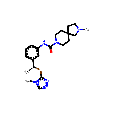 CC(=O)N1CCC2(CCN(C(=O)Nc3cccc([C@H](C)Sc4nncn4C)c3)CC2)C1